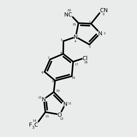 N#Cc1ncn(Cc2ccc(-c3noc(C(F)(F)F)n3)cc2Cl)c1C#N